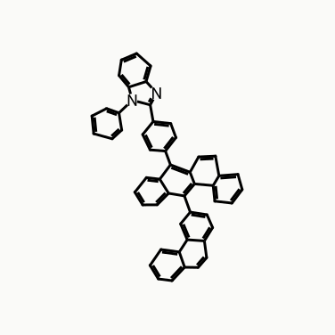 c1ccc(-n2c(-c3ccc(-c4c5ccccc5c(-c5ccc6ccc7ccccc7c6c5)c5c4ccc4ccccc45)cc3)nc3ccccc32)cc1